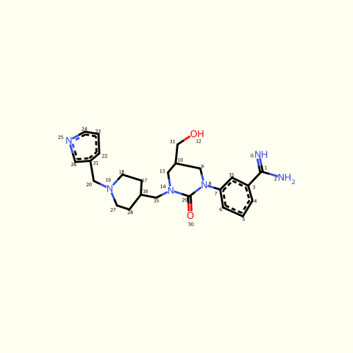 N=C(N)c1cccc(N2CC(CO)CN(CC3CCN(Cc4cccnc4)CC3)C2=O)c1